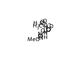 COc1cnc(C(=O)Nc2ccc3c(c2)[C@]2(CCO3)CS(=O)(=O)C(C)(C)CN2)cn1